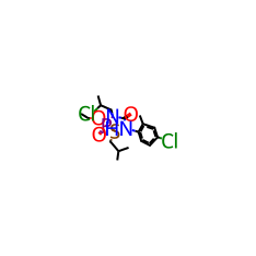 CCOP(=O)(SCC(C)C)N(CC(C)Cl)C(=O)Nc1ccc(Cl)cc1C